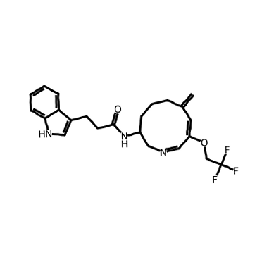 C=C1/C=C(OCC(F)(F)F)\C=N/CC(NC(=O)CCc2c[nH]c3ccccc23)CCC1